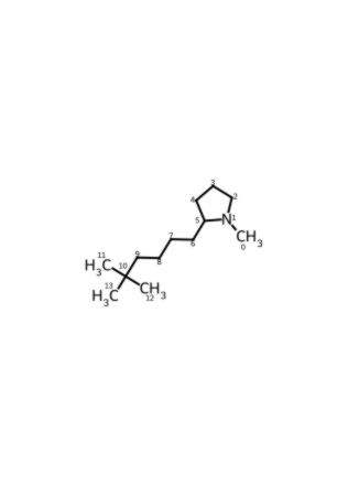 CN1CCCC1CCCCC(C)(C)C